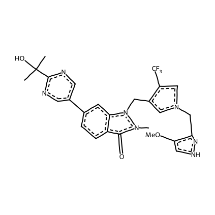 COc1c[nH]nc1Cn1cc(Cn2c3cc(-c4cnc(C(C)(C)O)nc4)ccc3c(=O)n2C)c(C(F)(F)F)c1